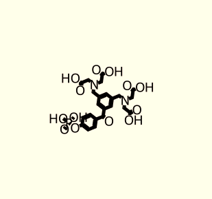 O=C(O)CN(CC(=O)O)Cc1cc(CN(CC(=O)O)CC(=O)O)cc(C(=O)c2ccc(OP(=O)(O)O)cc2)c1